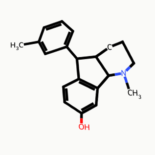 Cc1cccc(C2c3ccc(O)cc3C3C2CCCN3C)c1